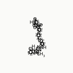 Cn1nc(Nc2c(Cl)cccc2I)c2cnc(Nc3ccc4c(c3)CN(CC3CCN(c5ccc6c(c5)C(=O)N(C5CCC(=O)NC5=O)C6=O)CC3)CC4)nc21